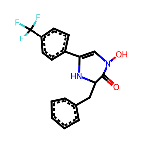 O=C1C(Cc2ccccc2)NC(c2ccc(C(F)(F)F)cc2)=CN1O